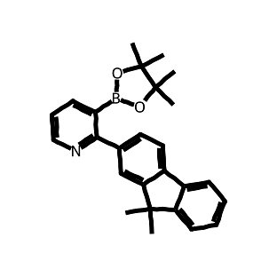 CC1(C)c2ccccc2-c2ccc(-c3ncccc3B3OC(C)(C)C(C)(C)O3)cc21